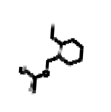 CCC1CCCCC1COC(=O)Cl